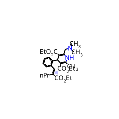 CCC/C(=C\c1ccccc1C1C(C(=O)OCC)=C(C)NC(CN(C)C)=C1C(=O)OCC)C(=O)OCC